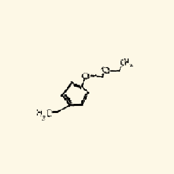 CCOCOc1ccc(CC)cc1